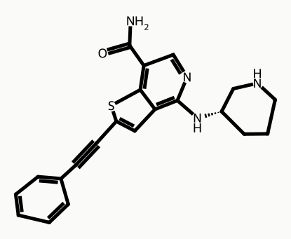 NC(=O)c1cnc(N[C@H]2CCCNC2)c2cc(C#Cc3ccccc3)sc12